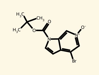 CC(C)(C)OC(=O)n1ccc2c(Br)c[n+]([O-])cc21